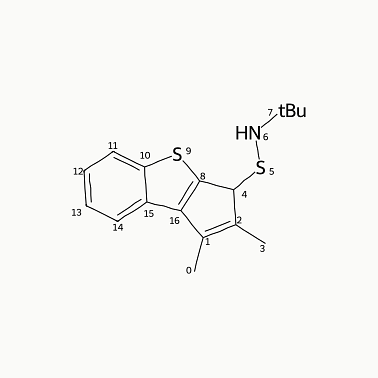 CC1=C(C)C(SNC(C)(C)C)c2sc3ccccc3c21